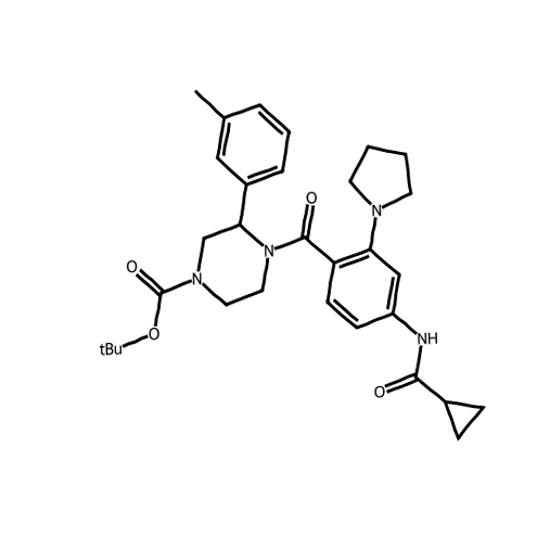 Cc1cccc(C2CN(C(=O)OC(C)(C)C)CCN2C(=O)c2ccc(NC(=O)C3CC3)cc2N2CCCC2)c1